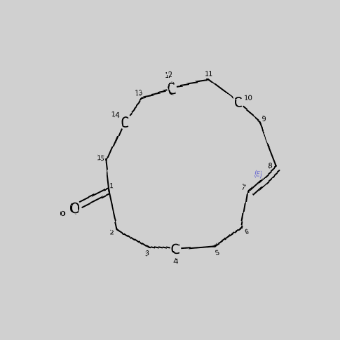 O=C1CCCCC/C=C/CCCCCCC1